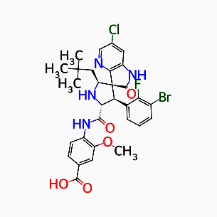 COc1cc(C(=O)O)ccc1NC(=O)[C@@H]1N[C@@H](CC(C)(C)C)[C@@]2(C(=O)Nc3cc(Cl)cnc32)[C@H]1c1cccc(Br)c1F